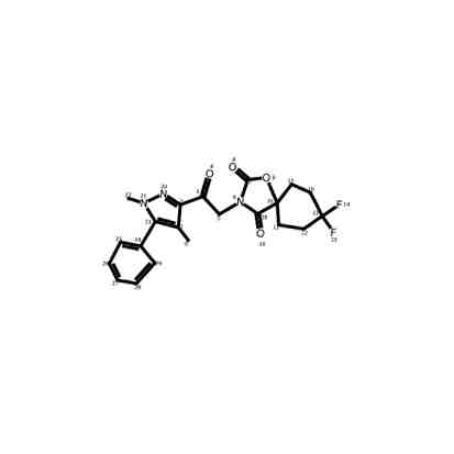 Cc1c(C(=O)CN2C(=O)OC3(CCC(F)(F)CC3)C2=O)nn(C)c1-c1ccccc1